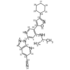 CC(C)Nc1cc(-n2ncc3cc(C#N)cnc32)ncc1-c1cc(C2CCCCC2)no1